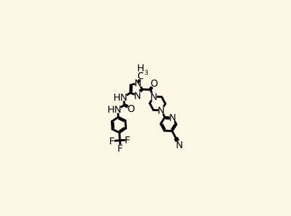 Cn1cc(NC(=O)Nc2ccc(C(F)(F)F)cc2)nc1C(=O)N1CCN(c2ccc(C#N)cn2)CC1